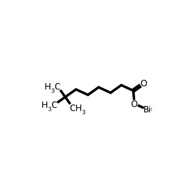 CC(C)(C)CCCCCC(=O)[O][Bi]